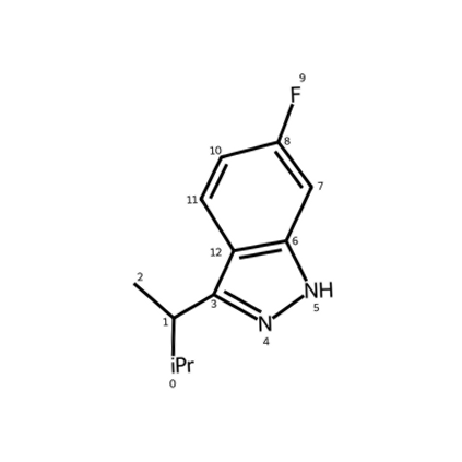 CC(C)C(C)c1n[nH]c2cc(F)ccc12